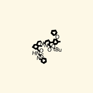 Cc1ccc(-c2ccc(N3CCc4cccc(C(=O)Nc5nc6ccccc6s5)c4C3)nc2C(=O)OC(C)(C)C)cc1Oc1ccccc1